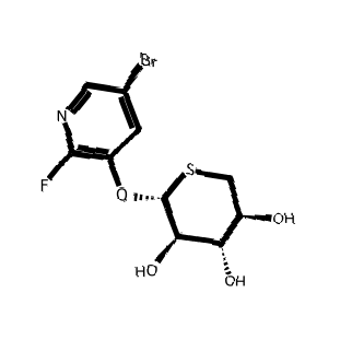 O[C@@H]1[C@@H](O)[C@H](Oc2cc(Br)cnc2F)SC[C@H]1O